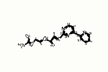 NC(=O)OCCOC(=O)CSc1nccc(-c2ccccn2)n1